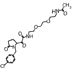 CC(=O)NCCOCCOCCNC(=O)C(=O)C1CCC(=O)N1Cc1ccc(Cl)cc1